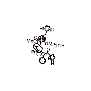 COc1cccc(OC)c1C12CC3CC(C1C(=O)NCCC1NC=CN1)C(C(=O)O)(C(C)C)C(N(C(=O)c1cc[nH]n1)c1ccccc1)(C3)C2.Cl.Cl